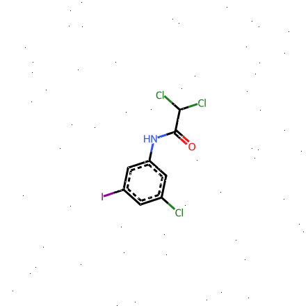 O=C(Nc1cc(Cl)cc(I)c1)C(Cl)Cl